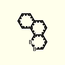 b1bc2c(cc1)ccc1ccccc12